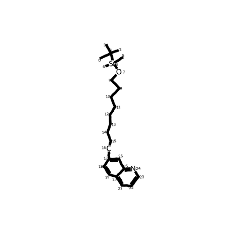 CC(C)(C)[Si](C)(C)OCCCCCCCCCc1ccc2cccnc2c1